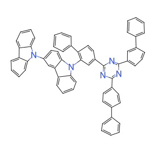 c1ccc(-c2ccc(-c3nc(-c4cccc(-c5ccccc5)c4)nc(-c4ccc(-c5ccccc5)c(-n5c6ccccc6c6cc(-n7c8ccccc8c8ccccc87)ccc65)c4)n3)cc2)cc1